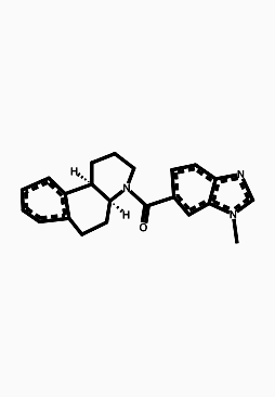 Cn1cnc2ccc(C(=O)N3CCC[C@@H]4c5ccccc5CC[C@@H]43)cc21